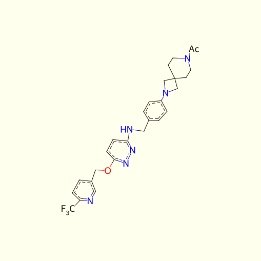 CC(=O)N1CCC2(CC1)CN(c1ccc(CNc3ccc(OCc4ccc(C(F)(F)F)nc4)nn3)cc1)C2